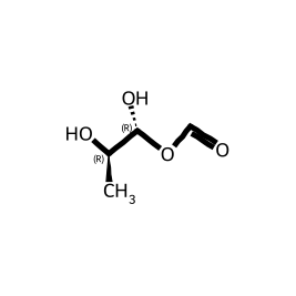 C[C@@H](O)[C@H](O)OC=O